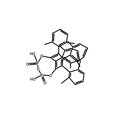 Cc1cccc(C)c1-c1c2c(-c3c(C)cccc3C)c(-c3c(C)cccc3C)c(-c3c(C)cccc3C)c1OP(=O)(O)OP(=O)(O)O2